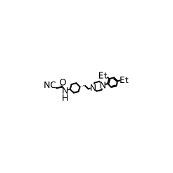 CCc1ccc(N2CCN(CC[C@H]3CC[C@H](NC(=O)CC#N)CC3)CC2)c(CC)c1